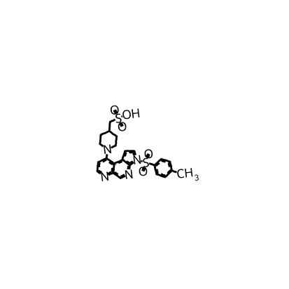 Cc1ccc(S(=O)(=O)n2ccc3c4c(N5CCC(CS(=O)(=O)O)CC5)ccnc4cnc32)cc1